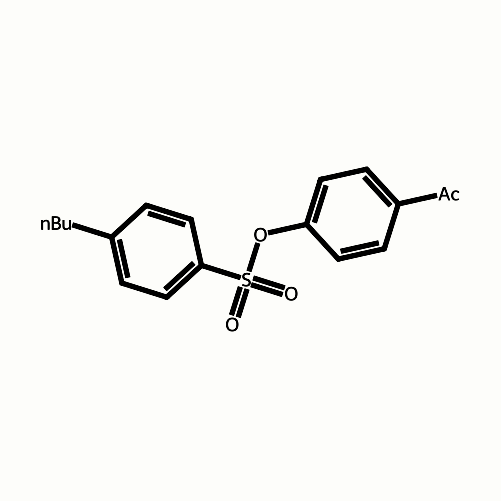 CCCCc1ccc(S(=O)(=O)Oc2ccc(C(C)=O)cc2)cc1